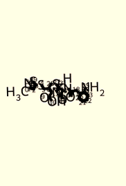 Cc1cc(SCC2=C(C(=O)O)N3C(=O)C(NC(=O)Cc4ccccc4N)[C@H]3SC2)sn1